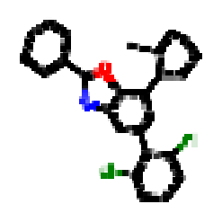 Cc1ccccc1-c1cc(-c2c(Cl)cccc2Cl)cc2nc(-c3ccccc3)oc12